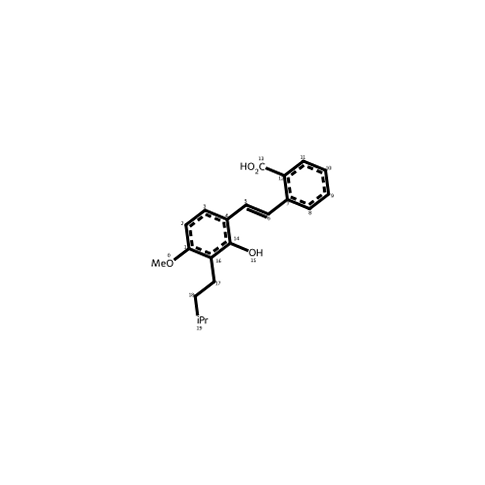 COc1ccc(C=Cc2ccccc2C(=O)O)c(O)c1CCC(C)C